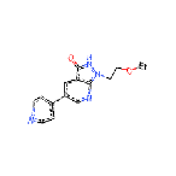 CCOCCn1[nH]c(=O)c2cc(-c3ccncc3)cnc21